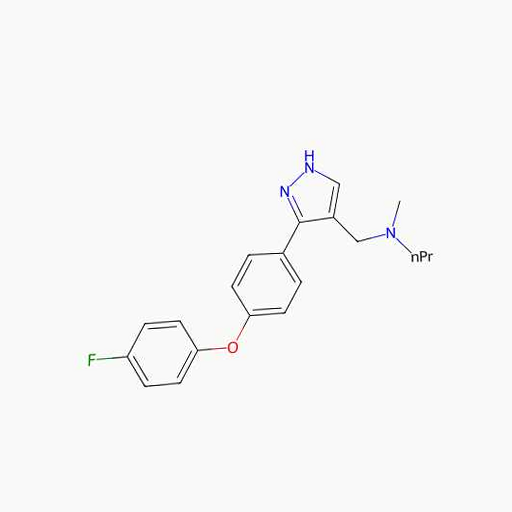 CCCN(C)Cc1c[nH]nc1-c1ccc(Oc2ccc(F)cc2)cc1